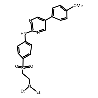 CCN(CC)CCS(=O)(=O)c1ccc(Nc2ncc(-c3ccc(OC)cc3)cn2)cc1